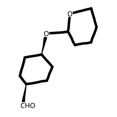 O=C[C@H]1CC[C@@H](OC2CCCCO2)CC1